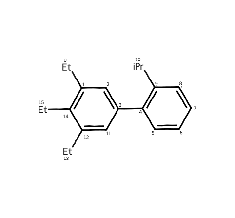 CCc1cc(-c2ccc[c]c2C(C)C)cc(CC)c1CC